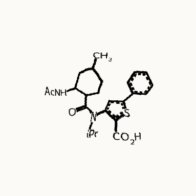 CC(=O)NC1CC(C)CCC1C(=O)N(c1cc(-c2ccccc2)sc1C(=O)O)C(C)C